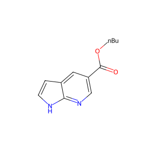 CCCCOC(=O)c1cnc2[nH]ccc2c1